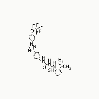 CC(C)c1ccccc1NC(S)NC(=O)NCc1ccc(-c2ncn(-c3ccc(OC(F)(F)C(F)(F)F)cc3)n2)cc1